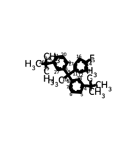 CC(C)(C)c1cccc(C(C)(c2ccc(F)cc2)c2cccc(C(C)(C)C)c2)c1